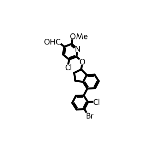 COc1nc(OC2CCc3c(-c4cccc(Br)c4Cl)cccc32)c(Cl)cc1C=O